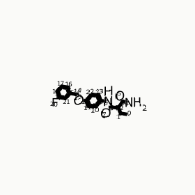 CCC(C(N)=O)C(=O)Nc1ccc(OCc2cccc(F)c2)cc1